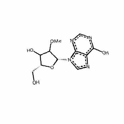 COC1C(O)[C@@H](CO)O[C@H]1n1cnc2c(O)ncnc21